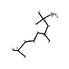 BC(C)(C)CC(C)CCCC(C)C